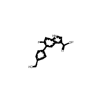 O=C(O)c1c[nH]c2cc(F)c(-c3ccc(CO)cc3)cc12